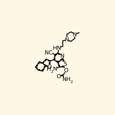 CN1CCN(CCNc2nc3sc(OC(N)=O)c(N)c3c(-c3cc4ccccc4o3)c2C#N)CC1